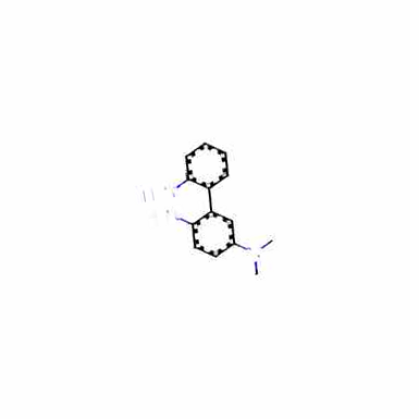 CN(C)c1ccc(N)c(-c2ccccc2N)c1